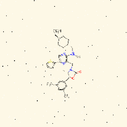 CCN(C[C@H]1CC[C@H](CC(=O)O)CC1)c1ncc(-c2cccs2)nc1CN1C(=O)OC(c2cc(C(F)(F)F)cc(C(F)(F)F)c2)[C@@H]1C